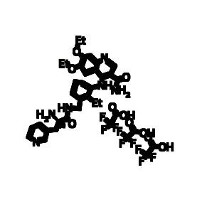 CCOc1cc2ncc(C(N)=O)c(Nc3cccc(CNC(=O)[C@@H](N)Cc4cccnc4)c3CC)c2cc1OCC.O=C(O)C(F)(F)F.O=C(O)C(F)(F)F.O=C(O)C(F)(F)F